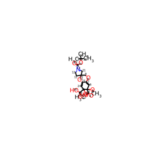 COC1(C(=O)O)C=C2OCC3(CCN(C(=O)OC(C)(C)C)C3)OC2=CC1(OC)C(=O)O